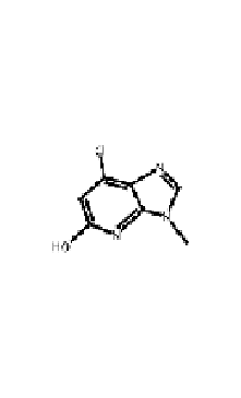 Cn1cnc2c(Cl)cc(O)nc21